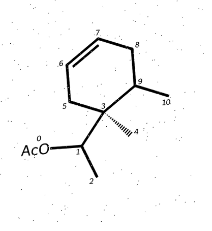 CC(=O)OC(C)[C@@]1(C)CC=CCC1C